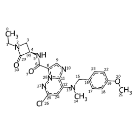 CCN1C[C@@H](NC(=O)c2cnc3c(N(C)Cc4ccc(OC)cc4)cc(Cl)nn23)C1=O